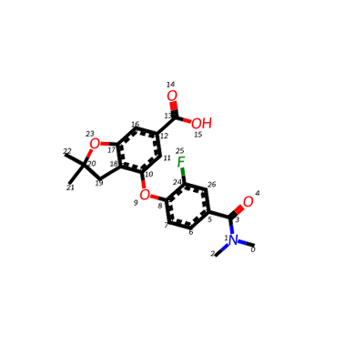 CN(C)C(=O)c1ccc(Oc2cc(C(=O)O)cc3c2CC(C)(C)O3)c(F)c1